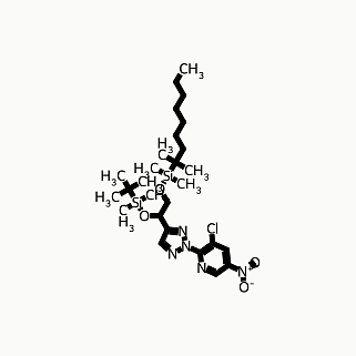 CCCCCCCC(C)(C)[Si](C)(C)OCC(O[Si](C)(C)C(C)(C)C)c1cnn(-c2ncc([N+](=O)[O-])cc2Cl)n1